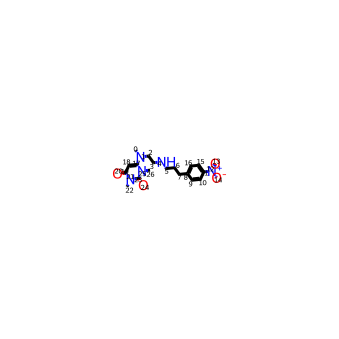 CN(CCNCCCc1ccc([N+](=O)[O-])cc1)c1cc(=O)n(C)c(=O)n1C